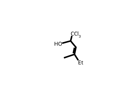 CC/C(C)=C/C(O)C(Cl)(Cl)Cl